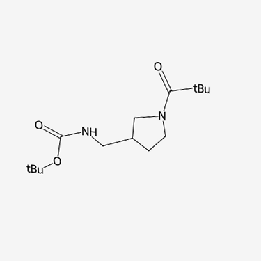 CC(C)(C)OC(=O)NCC1CCN(C(=O)C(C)(C)C)C1